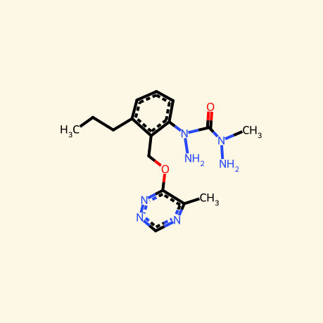 CCCc1cccc(N(N)C(=O)N(C)N)c1COc1nncnc1C